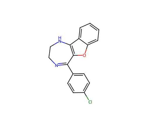 Clc1ccc(C2=NCCNc3c2oc2ccccc32)cc1